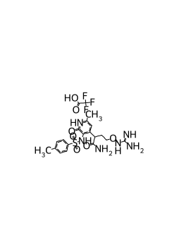 Cc1ccc(S(=O)(=O)Nc2c(C(CCONC(=N)N)C(N)=O)cc(C)[nH]c2=O)cc1.O=C(O)C(F)(F)F